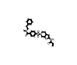 C=CC(=O)NC1CC2CCN(S(=O)(=O)c3ccc(C(=O)N(C)CCc4ccccc4)cc3)CC2O1